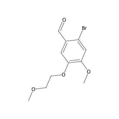 COCCOc1cc(C=O)c(Br)cc1OC